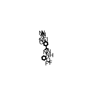 CN(Cn1cnnn1)Oc1cc(-c2cnc(Nc3ccccc3OC(F)F)nc2)ccc1Cl